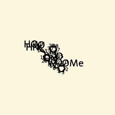 COc1cccc(CN(Cc2ccc(/C=C/C(=O)NO)cc2)C(=O)NC(=O)c2ccccc2)c1